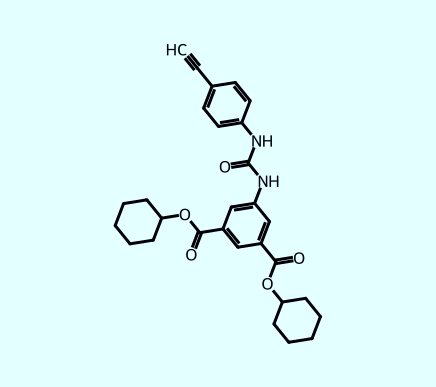 C#Cc1ccc(NC(=O)Nc2cc(C(=O)OC3CCCCC3)cc(C(=O)OC3CCCCC3)c2)cc1